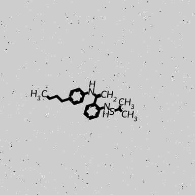 C=C(Nc1ccc(CCCC)cc1)c1ccccc1NSC(C)C